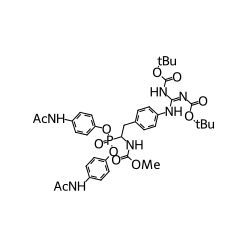 COC(=O)NC(Cc1ccc(NC(=NC(=O)OC(C)(C)C)NC(=O)OC(C)(C)C)cc1)P(=O)(Oc1ccc(NC(C)=O)cc1)Oc1ccc(NC(C)=O)cc1